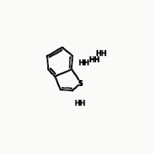 [HH].[HH].[HH].[HH].c1ccc2sccc2c1